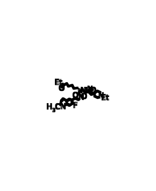 CCC(=O)CCCCC[C@H](NC(=O)C1=NOC2(CCN(CC)CC2)C1)c1ncc(-c2cc3ccc(C)nc3cc2F)o1